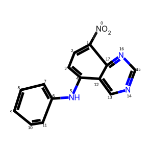 O=[N+]([O-])c1ccc(Nc2ccccc2)c2cncnc12